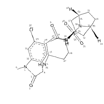 CN1C(=O)Cc2cc(C(=O)N[C@@H]3C[C@H]4CC[C@@H](C3)N4S(=O)(=O)N3CCC(N)CC3)c(Cl)cc21